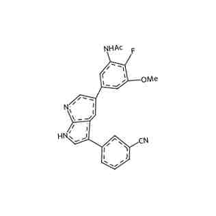 COc1cc(-c2cnc3[nH]cc(-c4cccc(C#N)c4)c3c2)cc(NC(C)=O)c1F